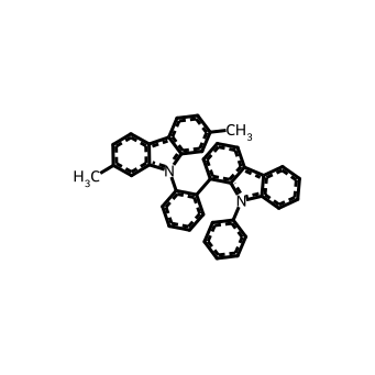 Cc1ccc2c3ccc(C)cc3n(-c3ccccc3-c3cccc4c5ccccc5n(-c5ccccc5)c34)c2c1